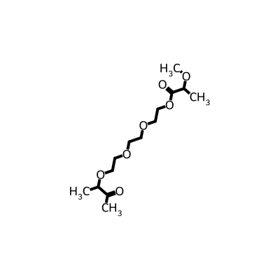 COC(C)C(=O)OCCOCCOCCOC(C)C(C)=O